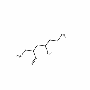 CCCC(O)CC(CC)N=O